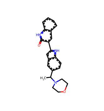 CC(c1ccc2[nH]c(-c3cc4ccccc4[nH]c3=O)cc2c1)N1CCOCC1